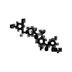 C[C@H](c1cc(Cl)cc(Cl)c1)N1CCC(C)(COc2cc(F)c(C(=O)N3C[C@H](F)C[C@H]3C(=O)O)cc2C2CC2)CC1